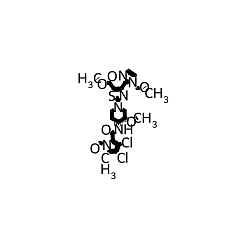 COCn1ccnc1-c1nc(N2CC[C@@H](NC(=O)c3c(Cl)c(Cl)c(C)n3C=O)[C@@H](OC)C2)sc1C(=O)OC